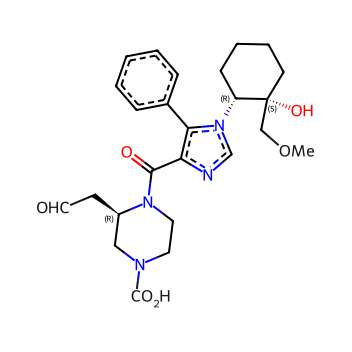 COC[C@]1(O)CCCC[C@H]1n1cnc(C(=O)N2CCN(C(=O)O)C[C@H]2CC=O)c1-c1ccccc1